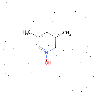 CC1=C[N+](O)=CC(C)C1